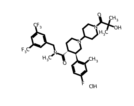 Cc1cc(F)ccc1[C@@H]1CN(C2CCN(C(=O)C(C)(C)O)CC2)CC[C@H]1C(=O)N(C)Cc1cc(C(F)(F)F)cc(C(F)(F)F)c1.Cl